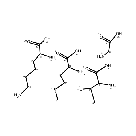 CC(O)C(N)C(=O)O.CSCCC(N)C(=O)O.NCC(=O)O.NCCCCC(N)C(=O)O